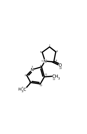 Cc1cnc(N2CCCC2=O)c(C)c1